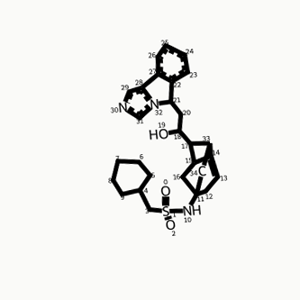 O=S(=O)(CC1CCCCC1)NC12CC=C3C(C1)C(C(O)CC1c4ccccc4-c4cncn41)C3C2